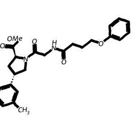 COC(=O)[C@@H]1C[C@@H](c2cccc(C)c2)CN1C(=O)CNC(=O)CCCOc1ccccc1